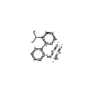 CC(C)c1ccccc1-c1ccccc1.N=C=O.N=C=O